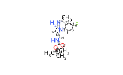 CC(N)c1cc(F)ccc1N1CCC1CNC(=O)OC(C)(C)C